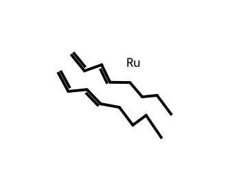 C=C/C=C/CCCC.C=C/C=C/CCCC.[Ru]